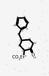 CCOC(=O)C1CC(Cc2ccccc2)CCC1=O